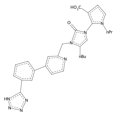 CCCCc1cn(-c2c(C(=O)O)ccn2CCC)c(=O)n1Cc1cc(-c2cccc(-c3nnn[nH]3)c2)ccn1